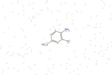 [C-]#[N+]c1cc(S(=O)(=O)O)ccc1N